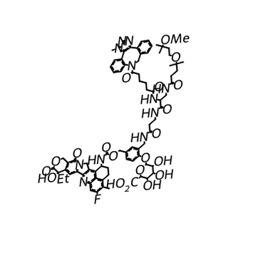 CCC1(O)C(=O)OCc2c1cc1n(c2=O)Cc2c-1nc1cc(F)c(C)c3c1c2C(NC(=O)OCc1ccc(OC2OC(C(=O)O)C(O)C(O)C2O)c(CNC(=O)CCNC(=O)C(CNC(=O)CCC(C)(C)OCCC(C)(C)OC)NC(=O)CCCCC(=O)N2Cc4ccccc4-c4nnn(C)c4-c4ccccc42)c1)CC3